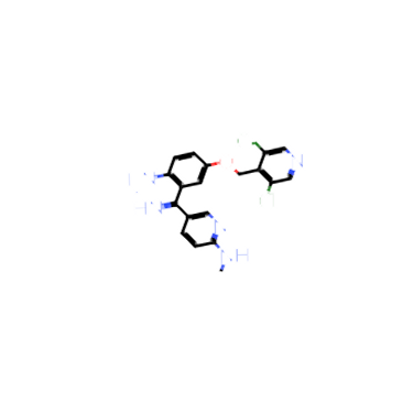 CNc1ccc(C(=N)c2cc(OCc3c(Cl)cncc3Cl)ccc2N)cn1